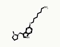 CN1CCC[C@@H]1Cc1c[nH]c2ccc(OCCCCCCN)cc12